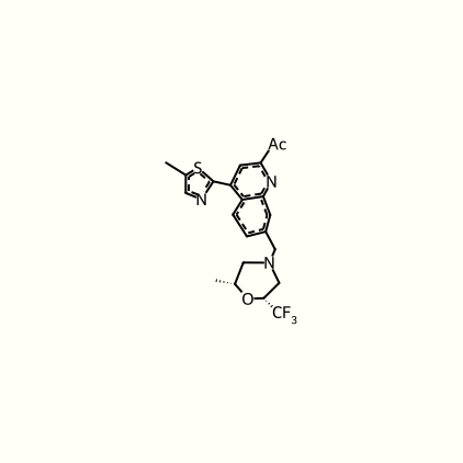 CC(=O)c1cc(-c2ncc(C)s2)c2ccc(CN3C[C@@H](C)O[C@@H](C(F)(F)F)C3)cc2n1